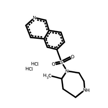 CC1CCNCCN1S(=O)(=O)c1ccc2cnccc2c1.Cl.Cl